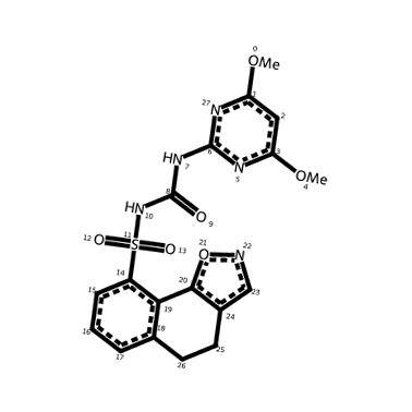 COc1cc(OC)nc(NC(=O)NS(=O)(=O)c2cccc3c2-c2oncc2CC3)n1